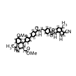 COC(=O)C[C@@H]1N=C(c2ccc(-c3ccc(C(=O)NCc4ccc(S(=O)(=O)Nc5ccc(C)c6c(C#N)c[nH]c56)cc4)cc3)cc2)c2cc(OC)ccc2-n2c(C)nnc21